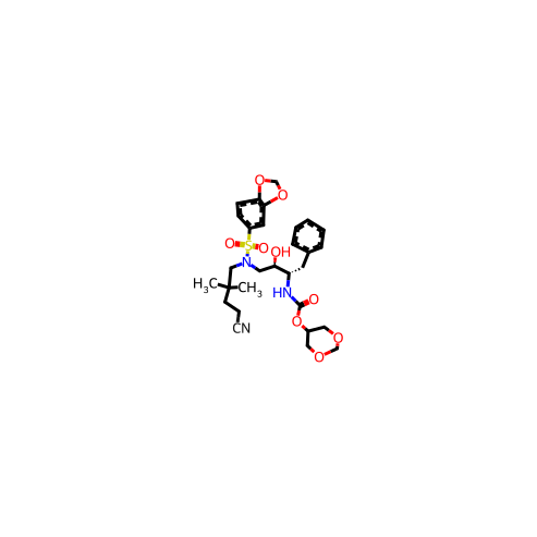 CC(C)(CCC#N)CN(C[C@@H](O)[C@H](Cc1ccccc1)NC(=O)OC1COCOC1)S(=O)(=O)c1ccc2c(c1)OCO2